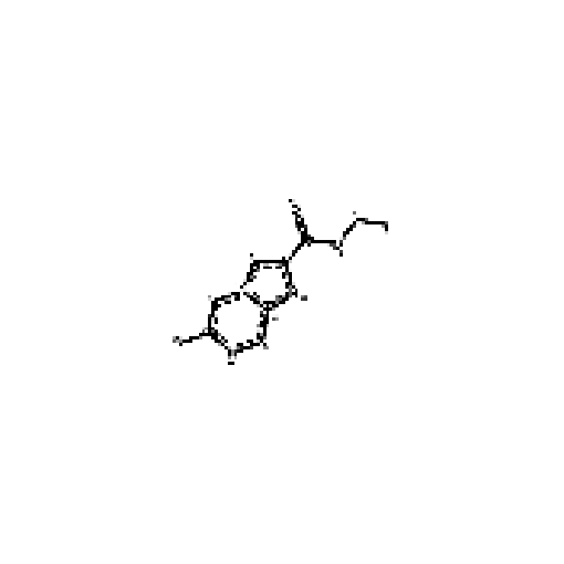 CCOC(=O)c1cn2cc(C)ncc2n1